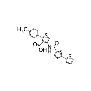 Cc1ccc(-c2scc(NC(=O)c3ccc(-c4cccs4)s3)c2C(=O)O)cc1